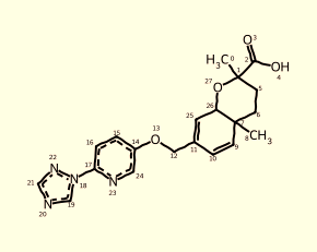 CC1(C(=O)O)CCC2(C)C=CC(COc3ccc(-n4cncn4)nc3)=CC2O1